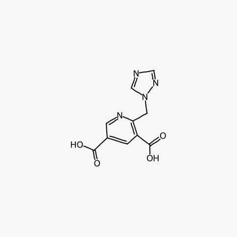 O=C(O)c1cnc(Cn2cncn2)c(C(=O)O)c1